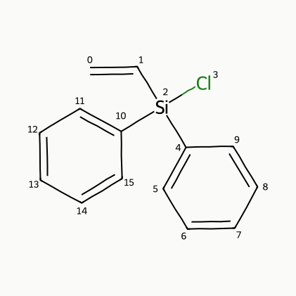 C=C[Si](Cl)(c1ccccc1)c1ccccc1